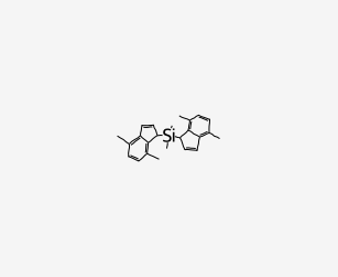 Cc1ccc(C)c2c1C=CC2[Si](C)(C)C1C=Cc2c(C)ccc(C)c21